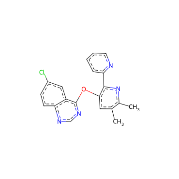 Cc1cc(Oc2ncnc3ccc(Cl)cc23)c(-c2ccccn2)nc1C